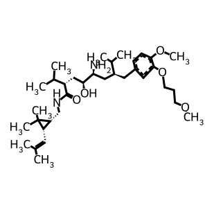 COCCCOc1cc(C[C@@H](C[C@H](N)[C@@H](O)C[C@H](C(=O)NC[C@@H]2[C@H](C=C(C)C)C2(C)C)C(C)C)C(C)C)ccc1OC